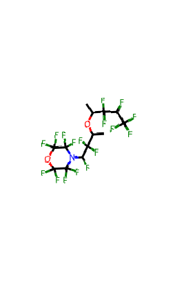 CC(OC(C)C(F)(F)C(F)C(F)(F)F)C(F)(F)C(F)N1C(F)(F)C(F)(F)OC(F)(F)C1(F)F